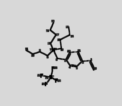 C=Cc1ccc(C[N+](CCCC)(CCCC)CCCC)cc1.F[B-](F)(F)F